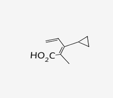 C=CC(=C(C)C(=O)O)C1CC1